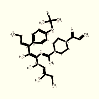 C=CC(=O)N1CCN(/C(C)=N/C(=C(C)\C(=C\CC)c2ccc(OC(C)(C)F)cc2)N(C)/C=C(\C)CC)CC1